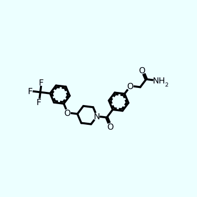 NC(=O)COc1ccc(C(=O)N2CCC(Oc3cccc(C(F)(F)F)c3)CC2)cc1